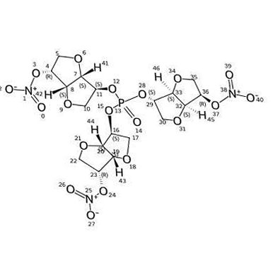 O=[N+]([O-])O[C@@H]1CO[C@H]2[C@@H]1OC[C@@H]2OP(=O)(O[C@H]1CO[C@H]2[C@@H]1OC[C@H]2O[N+](=O)[O-])O[C@H]1CO[C@H]2[C@@H]1OC[C@H]2O[N+](=O)[O-]